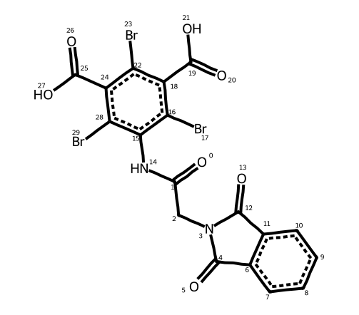 O=C(CN1C(=O)c2ccccc2C1=O)Nc1c(Br)c(C(=O)O)c(Br)c(C(=O)O)c1Br